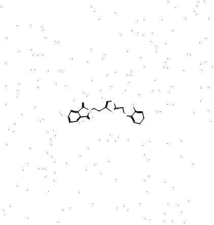 C=C1c2ccccc2C(=O)N1CCc1csc(COC2=CCCC=C2Cl)n1